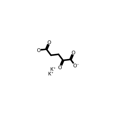 O=C([O-])CCC(=O)C(=O)[O-].[K+].[K+]